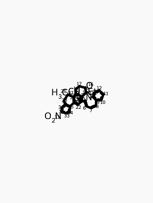 CCC1(N2C(C[O])=CC=Cc3ccccc32)C(=O)CCc2c1ccc1c2C(C)(C)Cc2cc([N+](=O)[O-])ccc2-1